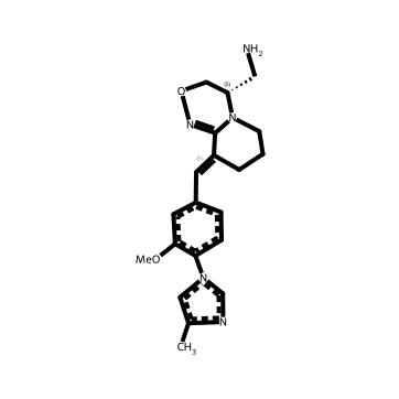 COc1cc(/C=C2\CCCN3C2=NOC[C@@H]3CN)ccc1-n1cnc(C)c1